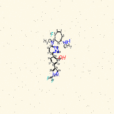 CN[C@H]1CCC[C@@H](F)[C@@H](N(C)c2ccc(-c3ccc(-c4cnn(C(F)F)c4)cc3O)nn2)C1